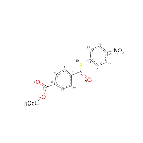 CCCCCCCCOC(=O)c1ccc(C(=O)Sc2ccc([N+](=O)[O-])cc2)cc1